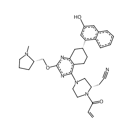 C=CC(=O)N1CCN(c2nc(OC[C@@H]3CCCN3C)nc3c2CC[C@@H](c2cc(O)cc4ccccc24)C3)C[C@@H]1CC#N